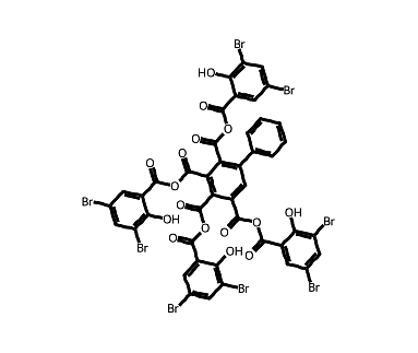 O=C(OC(=O)c1cc(-c2ccccc2)c(C(=O)OC(=O)c2cc(Br)cc(Br)c2O)c(C(=O)OC(=O)c2cc(Br)cc(Br)c2O)c1C(=O)OC(=O)c1cc(Br)cc(Br)c1O)c1cc(Br)cc(Br)c1O